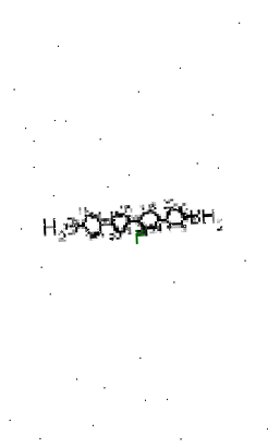 Bc1ccc(-c2ccc(-c3ccc(C4CCC(B)CC4)cc3)c(F)c2)cc1